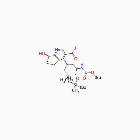 C[C@H]1CN(c2c(C(=O)I)cnc3c2CC[C@H]3O)C[C@@H](NC(=O)OC(C)(C)C)[C@@H]1O[Si](C)(C)C(C)(C)C